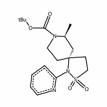 C[C@H]1C[C@]2(CCN1C(=O)OC(C)(C)C)CCS(=O)(=O)N2c1ccccn1